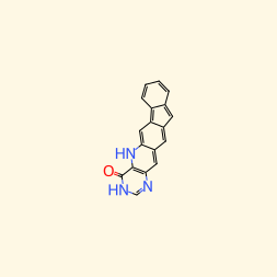 O=c1[nH]cnc2cc3cc4cc5ccccc5c4cc3[nH]c12